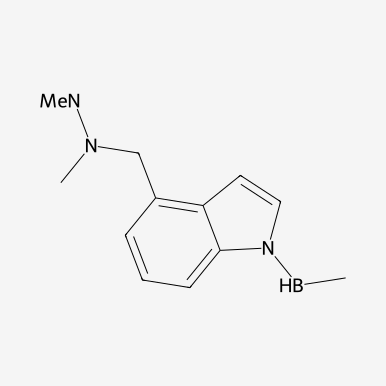 CBn1ccc2c(CN(C)NC)cccc21